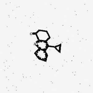 O=C1CCCc2c1nc1ccccc1c2C1CC1